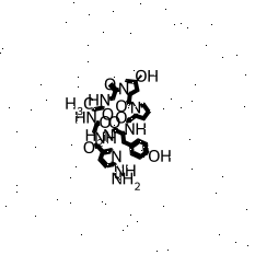 CC(NC(=O)CNC(=O)c1ccc(NN)nc1)C(=O)NCC(=O)N1C[C@@H](O)CC1C(=O)N1CCCC1C(=O)NC(Cc1ccc(O)cc1)C(N)=O